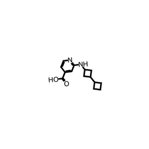 O=C(O)c1ccnc(NC2CC(C3CCC3)C2)c1